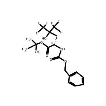 CC(C)(C)OC(=O)[C@H](CC(O)(C(F)(F)F)C(F)(F)F)NC(=O)OCc1ccccc1